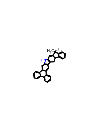 CC1(C)C2=Cc3[nH]c4cc5c6ccccc6c6ccccc6c5cc4c3CC2c2ccccc21